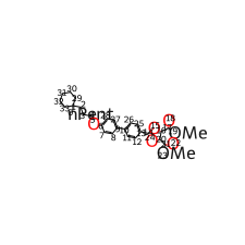 CCCCCC1(CCCOc2ccc(-c3ccc(C4OC(C(=O)OC)C(C(=O)OC)O4)cc3)cc2)CCCCC1